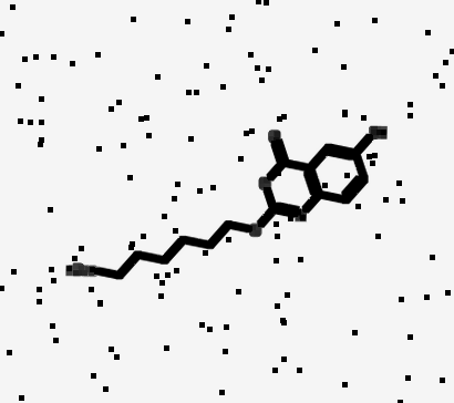 CCCCCCCCCCCCCCCCOc1nc2ccc(S)cc2c(=O)o1